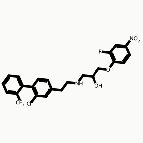 O=[N+]([O-])c1ccc(OCC(O)CNCCc2ccc(-c3ccccc3C(F)(F)F)c(Cl)c2)c(F)c1